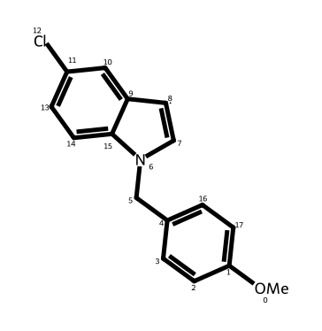 COc1ccc(Cn2c[c]c3cc(Cl)ccc32)cc1